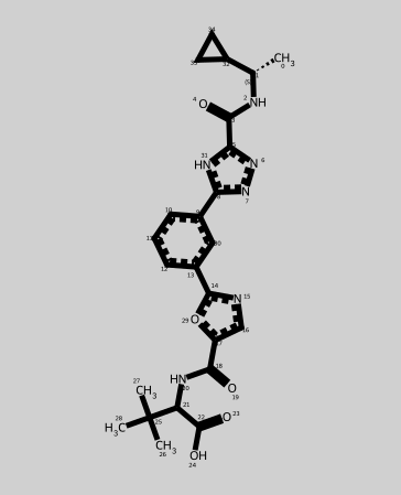 C[C@H](NC(=O)c1nnc(-c2cccc(-c3ncc(C(=O)NC(C(=O)O)C(C)(C)C)o3)c2)[nH]1)C1CC1